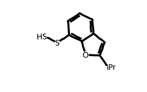 CC(C)c1cc2cccc(SS)c2o1